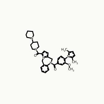 COc1cc(C(=O)N2Cc3ccc(C(=O)N4CCC(N5CCCCC5)CC4)n3Cc3ccccc32)ccc1-n1c(C)ccc1C